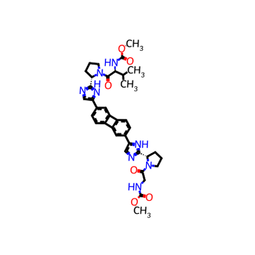 COC(=O)NCC(=O)N1CCC[C@H]1c1ncc(-c2ccc3c(c2)-c2ccc(-c4cnc([C@@H]5CCCN5C(=O)[C@@H](NC(=O)OC)C(C)C)[nH]4)cc2-3)[nH]1